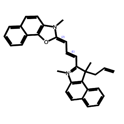 C=CCC1(C)C(/C=C/C=C2\Oc3c(ccc4ccccc34)N2C)=[N+](C)c2ccc3ccccc3c21